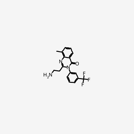 Cc1cccc2c(=O)n(-c3cccc(C(F)(F)F)c3)c(CCN)nc12